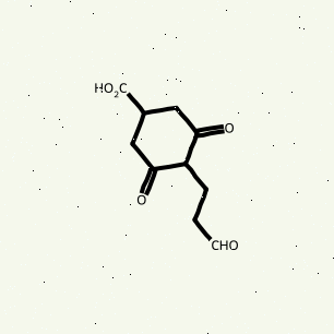 O=CCCC1C(=O)CC(C(=O)O)CC1=O